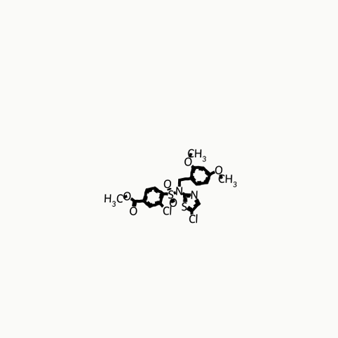 COC(=O)c1ccc(S(=O)(=O)N(Cc2ccc(OC)cc2OC)c2ncc(Cl)s2)c(Cl)c1